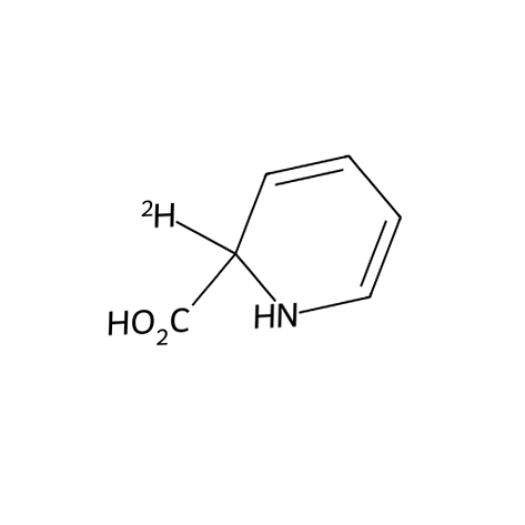 [2H]C1(C(=O)O)C=CC=CN1